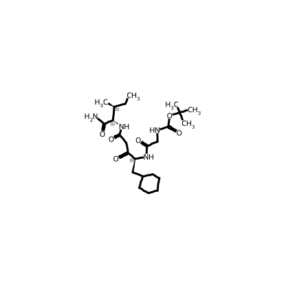 CC[C@H](C)[C@H](NC(=O)CC(=O)[C@H](CC1CCCCC1)NC(=O)CNC(=O)OC(C)(C)C)C(N)=O